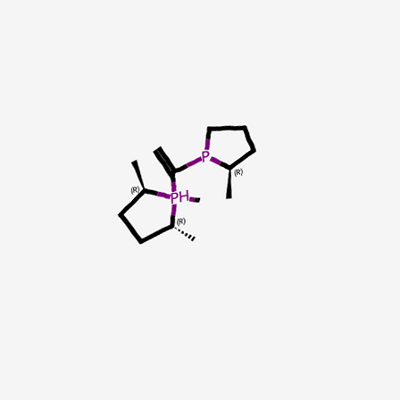 C=C(P1CCC[C@H]1C)[PH]1(C)[C@H](C)CC[C@H]1C